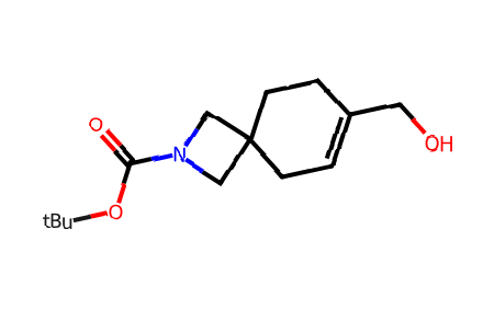 CC(C)(C)OC(=O)N1CC2(CC=C(CO)CC2)C1